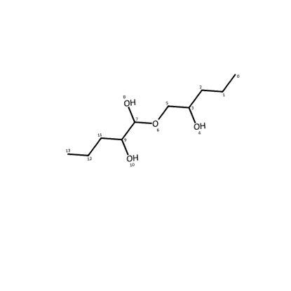 CCCC(O)COC(O)C(O)CCC